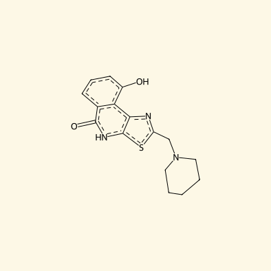 O=c1[nH]c2sc(CN3CCCCC3)nc2c2c(O)cccc12